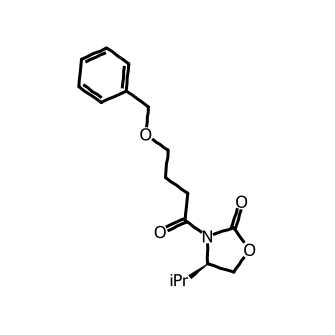 CC(C)[C@@H]1COC(=O)N1C(=O)CCCOCc1ccccc1